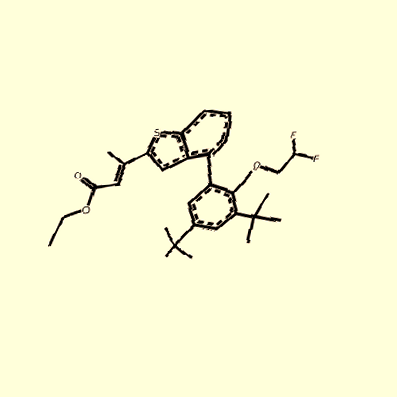 CCOC(=O)C=C(C)c1cc2c(-c3cc(C(C)(C)C)cc(C(C)(C)C)c3OCC(F)F)cccc2s1